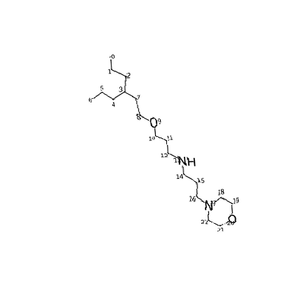 CCCC(CCC)CCOCCCNCCCN1CCOCC1